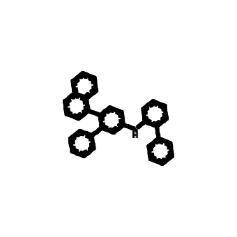 c1ccc(-c2ccccc2Nc2ccc(-c3cccc4ccccc34)c(-c3ccccc3)c2)cc1